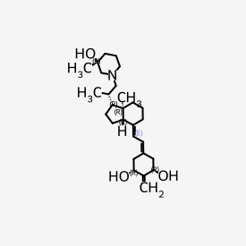 C=C1[C@H](O)CC(=C/C=C2\CCC[C@]3(C)[C@@H](C(C)CN4CCC[C@@](C)(O)C4)CC[C@@H]23)C[C@H]1O